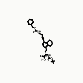 CC(C)(C)OC(=O)N[C@@H](CCc1ccc(C#CCCNC(=O)OCc2ccccc2)c2c1CCCC2)C(=O)O